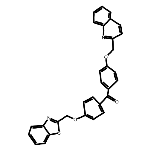 O=C(c1ccc(OCc2ccc3ccccc3n2)cc1)c1ccc(OCc2nc3ccccc3s2)cc1